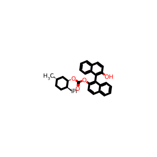 CC(C)[C@H]1CC[C@H](C)C[C@@H]1OC(=O)Oc1ccc2ccccc2c1-c1c(O)ccc2ccccc12